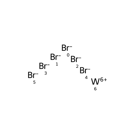 [Br-].[Br-].[Br-].[Br-].[Br-].[Br-].[W+6]